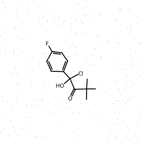 CC(C)(C)C(=O)C(O)(Cl)c1ccc(F)cc1